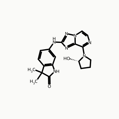 CC1(C)C(=O)Nc2cc(Nc3nc4c(N5CCC[C@@H]5O)nccn4n3)ccc21